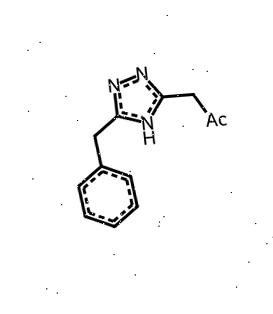 CC(=O)Cc1nnc(Cc2ccccc2)[nH]1